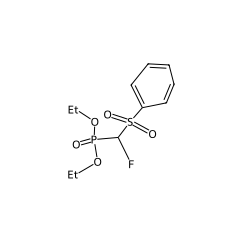 CCOP(=O)(OCC)C(F)S(=O)(=O)c1ccccc1